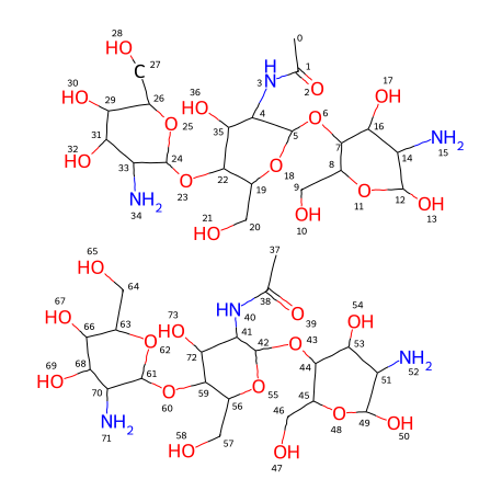 CC(=O)NC1C(OC2C(CO)OC(O)C(N)C2O)OC(CO)C(OC2OC(CO)C(O)C(O)C2N)C1O.CC(=O)NC1C(OC2C(CO)OC(O)C(N)C2O)OC(CO)C(OC2OC(CO)C(O)C(O)C2N)C1O